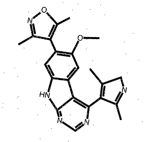 COc1cc2c(cc1-c1c(C)noc1C)[nH]c1ncnc(C3=C(C)CN=C3C)c12